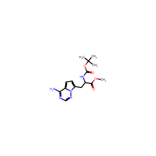 COC(=O)C(Cc1ccc2c(N)ncnn12)NC(=O)OC(C)(C)C